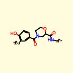 CCCNC(=O)C1CN(C(=O)c2ccc(O)c(C(C)(C)C)c2)CCO1